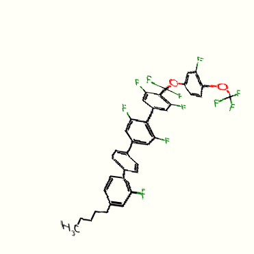 CCCCCc1ccc(-c2ccc(-c3cc(F)c(-c4cc(F)c(C(F)(F)Oc5ccc(OC(F)(F)F)c(F)c5)c(F)c4)c(F)c3)cc2)c(F)c1